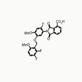 COc1cc(F)c(N2C(=O)c3cccc(C(=O)O)c3C2=O)cc1OCc1c(OC)ccc(F)c1F